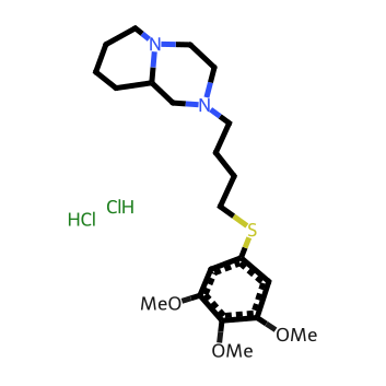 COc1cc(SCCCCN2CCN3CCCCC3C2)cc(OC)c1OC.Cl.Cl